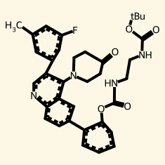 Cc1cc(F)cc(-c2cnc3ccc(-c4ccccc4OC(=O)NCCNC(=O)OC(C)(C)C)cc3c2N2CCC(=O)CC2)c1